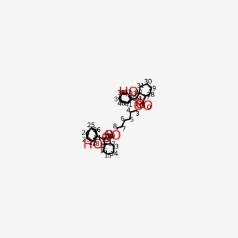 O=C(OCCCCCCOC(=O)[C@H]1CCCC[C@]1(O)C(=O)c1ccccc1)C1CCCCC1(O)C(=O)c1ccccc1